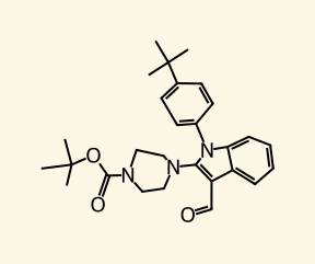 CC(C)(C)OC(=O)N1CCN(c2c(C=O)c3ccccc3n2-c2ccc(C(C)(C)C)cc2)CC1